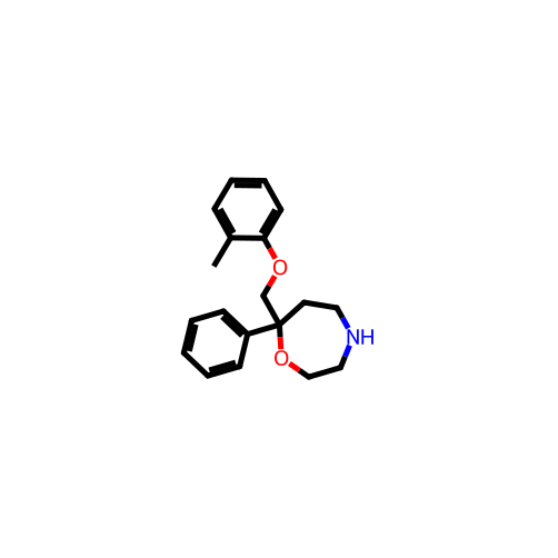 Cc1ccccc1OCC1(c2ccccc2)CCNCCO1